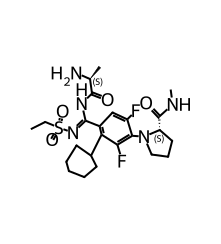 CCS(=O)(=O)N=C(NC(=O)[C@H](C)N)c1cc(F)c(N2CCC[C@H]2C(=O)NC)c(F)c1C1CCCCC1